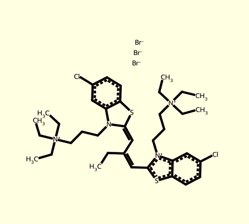 CCC(=Cc1sc2ccc(Cl)cc2[n+]1CCC[N+](CC)(CC)CC)C=C1Sc2ccc(Cl)cc2N1CCC[N+](CC)(CC)CC.[Br-].[Br-].[Br-]